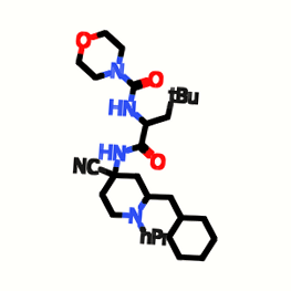 CCCN1CCC(C#N)(NC(=O)C(CC(C)(C)C)NC(=O)N2CCOCC2)CC1CC1CCCCC1